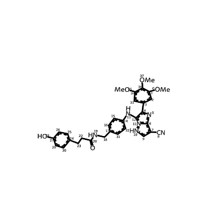 COc1cc(-c2nc3c(C#N)c[nH]n3c2Nc2ccc(CNC(=O)CCc3ccc(O)cc3)cc2)cc(OC)c1OC